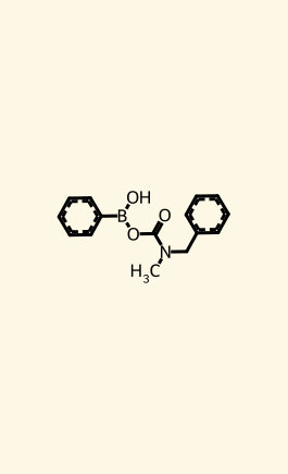 CN(Cc1ccccc1)C(=O)OB(O)c1ccccc1